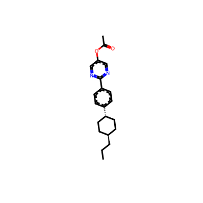 CCC[C@H]1CC[C@H](c2ccc(-c3ncc(OC(C)=O)cn3)cc2)CC1